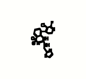 O=S1(=O)N=C(NCc2nccs2)Nc2c(-c3ccnc(F)c3Cl)cccc21